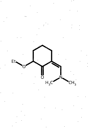 CCOC1CCCC(=CN(C)C)C1=O